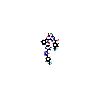 CC(=O)N1CCN(C(=O)c2ccc(C(F)(F)F)cc2)CC1c1cc2ccccc2n1Oc1cnc(-c2nc(-c3ccc(C(F)(F)F)cc3)no2)cn1